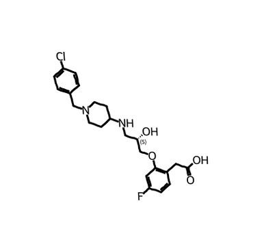 O=C(O)Cc1ccc(F)cc1OC[C@@H](O)CNC1CCN(Cc2ccc(Cl)cc2)CC1